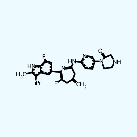 C=C1CC(Nc2ccc(N3CCNCC3=O)cn2)=NC(c2cc(F)c3[nH]c(C)c(C(C)C)c3c2)=C(F)C1